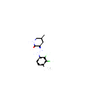 COc1ccc(NN=C2CC(C)CNC2=O)c(Cl)c1Cl